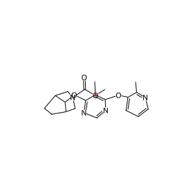 COC(=O)N1CC2CCC(C1)C2Oc1ncnc(Oc2cccnc2C)c1C